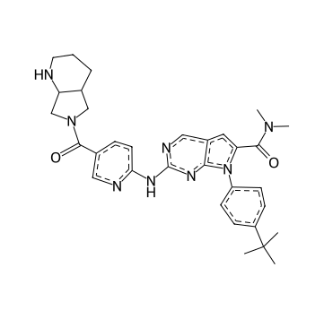 CN(C)C(=O)c1cc2cnc(Nc3ccc(C(=O)N4CC5CCCNC5C4)cn3)nc2n1-c1ccc(C(C)(C)C)cc1